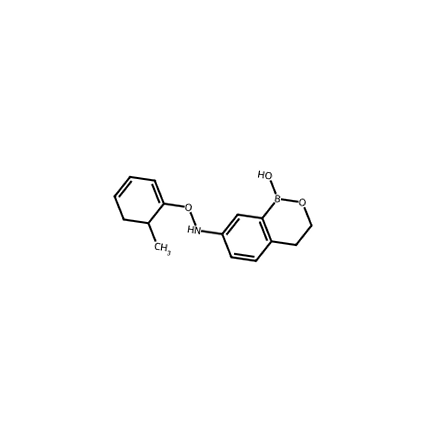 CC1CC=CC=C1ONc1ccc2c(c1)B(O)OCC2